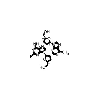 Cc1ncnc2c1ncn2[C@H]1CC[C@@H](CO)O1.Nc1nc(F)nc2c1ncn2[C@H]1CC[C@@H](CO)O1